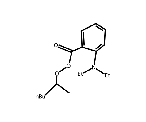 CCCCC(C)OOC(=O)c1ccccc1N(CC)CC